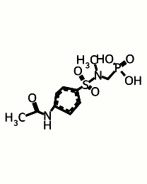 CC(=O)Nc1ccc(S(=O)(=O)N(C)CP(=O)(O)O)cc1